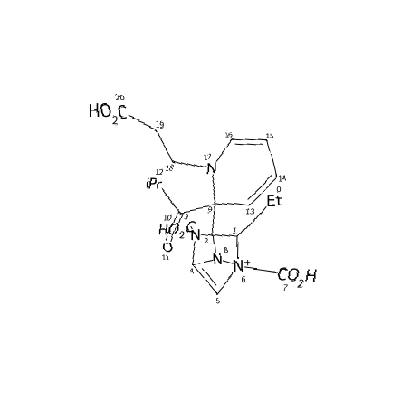 CCC1N(C(=O)O)C2=C[N+]1(C(=O)O)N2C1(C(=O)C(C)C)C=CC=CN1CCC(=O)O